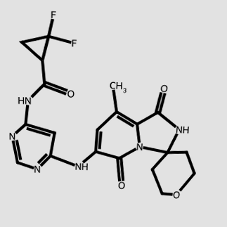 Cc1cc(Nc2cc(NC(=O)C3CC3(F)F)ncn2)c(=O)n2c1C(=O)NC21CCOCC1